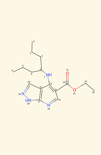 CCCC(CCC)Nc1c(C(=O)OCC)cnc2[nH]ncc12